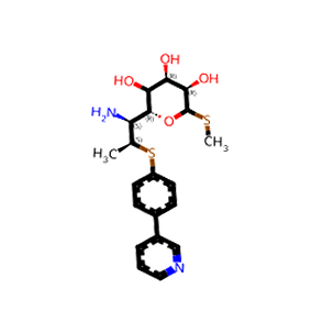 CSC1O[C@H]([C@H](N)[C@H](C)Sc2ccc(-c3cccnc3)cc2)C(O)[C@@H](O)[C@H]1O